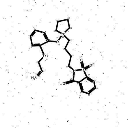 C=CCOc1ccccc1O[N+]1(CCCCN2C(=O)c3ccccc3S2(=O)=O)CCCC1